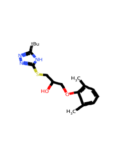 Cc1c[c]cc(C)c1OCC(O)CSc1nnc(C(C)(C)C)[nH]1